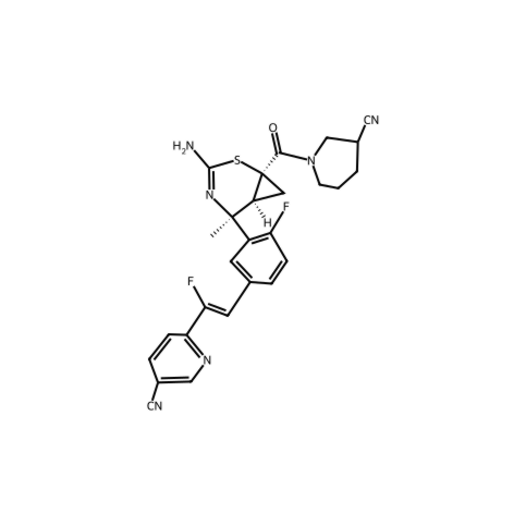 C[C@]1(c2cc(C=C(F)c3ccc(C#N)cn3)ccc2F)N=C(N)S[C@@]2(C(=O)N3CCCC(C#N)C3)C[C@H]21